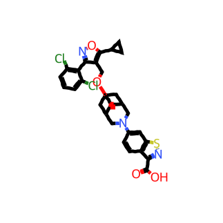 O=C(O)c1nsc2cc(N3CC4CCCC(C3)C43CC(OCc4c(-c5c(Cl)cccc5Cl)noc4C4CC4)C3)ccc12